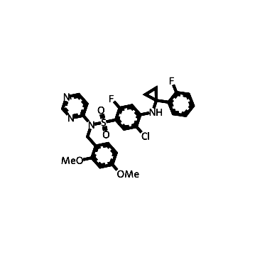 COc1ccc(CN(c2ccncn2)S(=O)(=O)c2cc(Cl)c(NC3(c4ccccc4F)CC3)cc2F)c(OC)c1